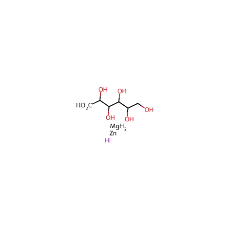 I.O=C(O)C(O)C(O)C(O)C(O)CO.[MgH2].[Zn]